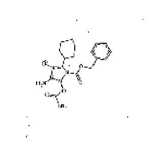 CCCCC(=O)ON1N(C(=O)OCc2ccccc2)C(C2CCCCC2)=[N+]([O-])N1N